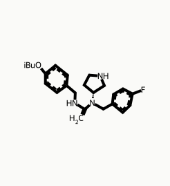 C=C(NCc1ccc(OCC(C)C)cc1)N(Cc1ccc(F)cc1)[C@@H]1CCNC1